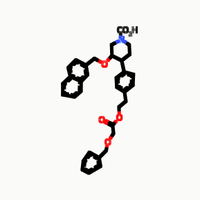 O=C(COCc1ccccc1)OCCc1ccc(C2CCN(C(=O)O)CC2OCc2ccc3ccccc3c2)cc1